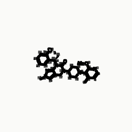 COc1nccc(C)c1N1CCC(N2Cc3cn(C)nc3N([C@@H](C)c3ccccc3C(F)(F)F)C2=O)CC1